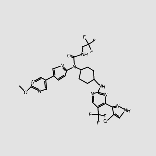 COc1ncc(-c2ccc(N(C(=O)NCC(F)(F)F)C3CCC(Nc4ncc(C(F)(F)F)c(-c5n[nH]cc5Cl)n4)CC3)nc2)cn1